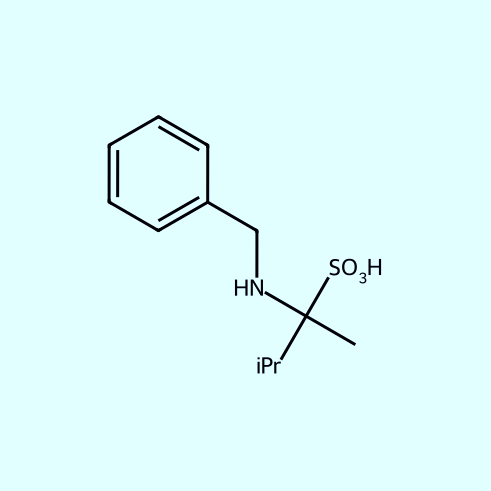 CC(C)C(C)(NCc1ccccc1)S(=O)(=O)O